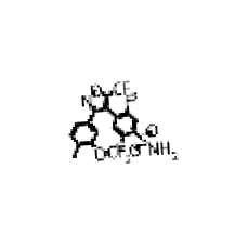 Cc1ccc(-c2noc(C(F)(F)F)c2-c2cc(F)c(S(N)(=O)=O)cc2F)cc1OC(F)(F)F